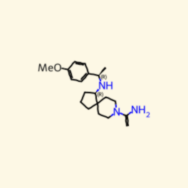 C=C(N)N1CCC2(CCC[C@H]2N[C@H](C)c2ccc(OC)cc2)CC1